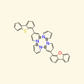 C1=CB2N3C=CC(c4cccc5c4oc4ccccc45)=CB3N3C=CC=CB3N3C=CC(c4cccc5c4sc4ccccc45)=CB3N2C=C1